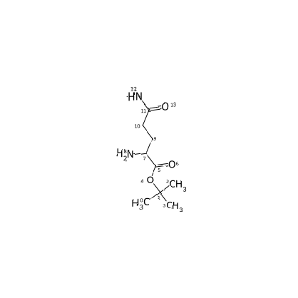 CC(C)(C)OC(=O)C(N)CCC([NH])=O